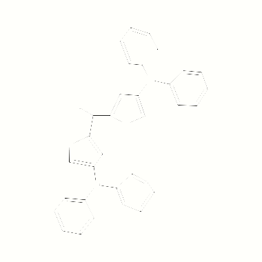 SC(c1cc([S+](c2ccccc2)c2ccccc2)co1)c1cc([S+](c2ccccc2)c2ccccc2)co1